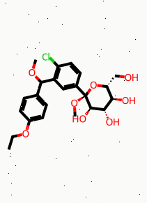 CCOc1ccc(C(OC)c2cc([C@]3(OC)O[C@H](CO)[C@@H](O)[C@H](O)[C@H]3O)ccc2Cl)cc1